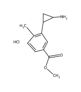 COC(=O)c1ccc(C)c(C2CC2N)c1.Cl